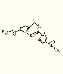 C[C@@H](NC(=O)c1ccc(OCC(F)(F)F)cn1)c1ccc(OCC(F)(F)F)cn1